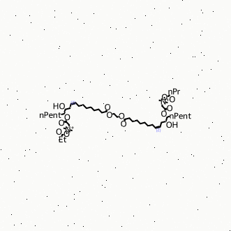 CCCCCC(OC(=O)C[N+](C)(C)OC(=O)CC)C(O)C/C=C\CCCCCCCC(=O)OCCOC(=O)CCCCCCC/C=C\CC(O)C(CCCCC)OC(=O)C[N+](C)(C)OC(=O)CCC